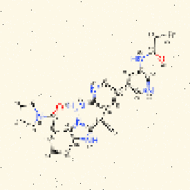 C=C(c1nc2c(C(=O)N3CCCC3)cccc2[nH]1)c1cc(-c2cncc(NC(=O)CC(C)C)c2)cnc1N